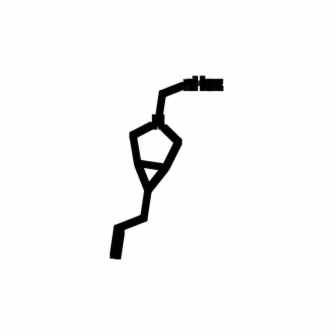 C=CCC1C2CN(CCCCCCC)CC12